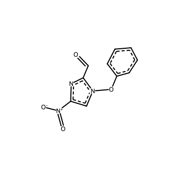 O=Cc1nc([N+](=O)[O-])cn1Oc1ccccc1